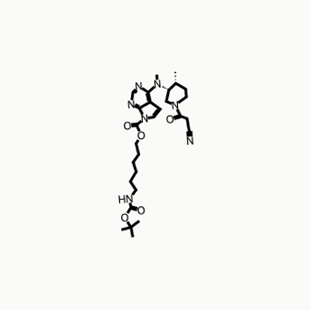 C[C@@H]1CCN(C(=O)CC#N)C[C@@H]1N(C)c1ncnc2c1ccn2C(=O)OCCCCCCNC(=O)OC(C)(C)C